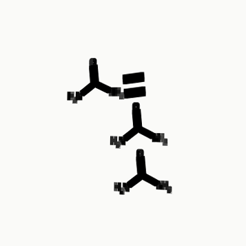 C=C.C=C.NC(N)=O.NC(N)=O.NC(N)=O